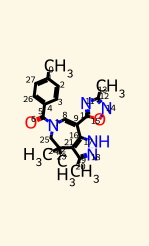 Cc1ccc(C(=O)N2C=C(c3nc(C)no3)c3[nH]nc(C)c3C(C)(C)C2)cc1